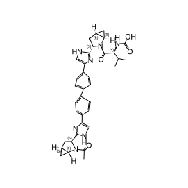 CC(=O)N1[C@@H]2C[C@H]2C[C@H]1c1nc(-c2ccc(-c3ccc(-c4c[nH]c([C@@H]5C[C@H]6C[C@H]6N5C(=O)[C@@H](NC(=O)O)C(C)C)n4)cc3)cc2)c[nH]1